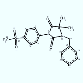 CC1(C)C(=O)N(c2ccc(S(=O)(=O)C(F)(F)F)cc2)C(=O)N1Cc1ccncc1